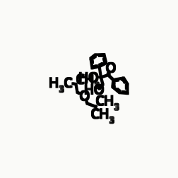 CC(C)COCC(C)C.O=C(c1ccccc1)C(O)(CO)c1ccccc1